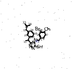 COc1ccc(/C=N/n2c(S)nnc2C(C)c2cccc(CC(C)C)c2)cc1Br